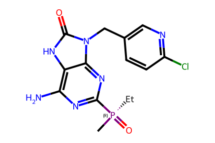 CC[P@@](C)(=O)c1nc(N)c2[nH]c(=O)n(Cc3ccc(Cl)nc3)c2n1